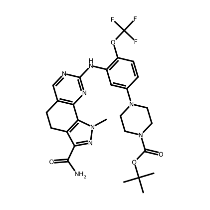 Cn1nc(C(N)=O)c2c1-c1nc(Nc3cc(N4CCN(C(=O)OC(C)(C)C)CC4)ccc3OC(F)(F)F)ncc1CC2